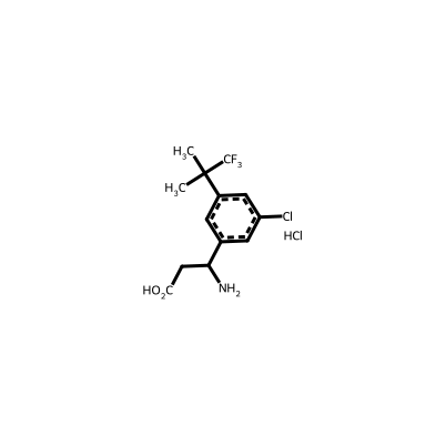 CC(C)(c1cc(Cl)cc(C(N)CC(=O)O)c1)C(F)(F)F.Cl